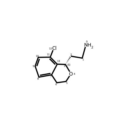 NCC[C@@H]1OCCc2cccc(Cl)c21